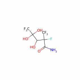 NC(=O)C(F)(C(O)C(O)(O)C(F)(F)F)C(F)(F)F